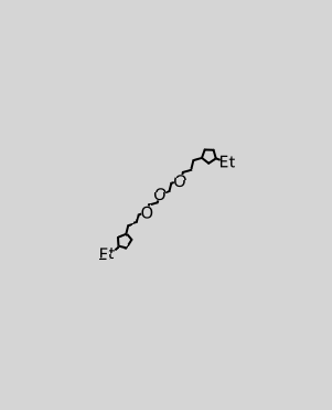 CCC1CCC(CCCOCCOCCOCCCC2CCC(CC)C2)C1